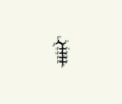 FC(F)=C(F)C(F)(F)C(F)(F)C(F)(F)C(F)(F)F